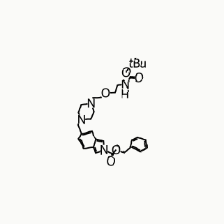 CC(C)(C)OC(=O)NCCOCCN1CCN(Cc2ccc3cn(C(=O)OCc4ccccc4)cc3c2)CC1